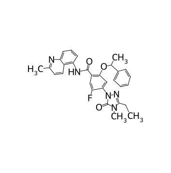 CCc1nn(-c2cc(OC(C)c3ccccc3)c(C(=O)Nc3cccc4nc(C)ccc34)cc2F)c(=O)n1C